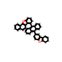 C1=Cc2c(oc3ccc(-c4c5ccccc5c(-c5cccc6oc7c8ccccc8ccc7c56)c5ccccc45)cc23)CC1